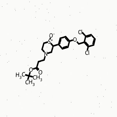 CC(C)(C)OC(=O)CCN1CC[S+]([O-])C(c2ccc(OCc3c(Cl)cccc3Cl)cc2)C1